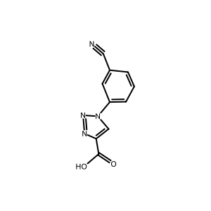 N#Cc1cccc(-n2cc(C(=O)O)nn2)c1